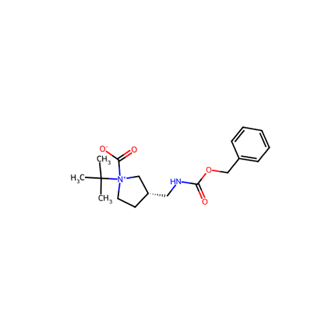 CC(C)(C)[N+]1(C(=O)[O-])CC[C@@H](CNC(=O)OCc2ccccc2)C1